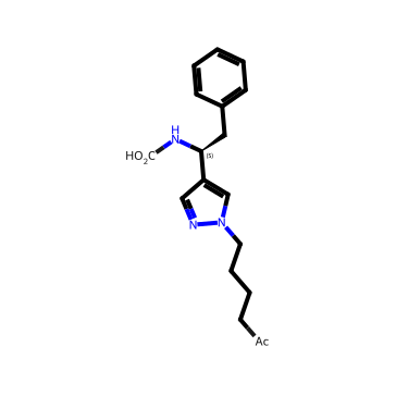 CC(=O)CCCCn1cc([C@H](Cc2ccccc2)NC(=O)O)cn1